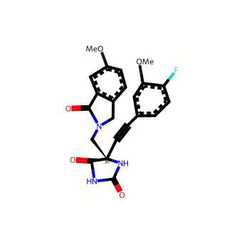 COc1ccc2c(c1)C(=O)N(C[C@@]1(C#Cc3ccc(F)c(OC)c3)NC(=O)NC1=O)C2